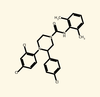 Cc1cccc(C)c1NC(=O)N1CCN(c2ccc(Cl)cc2Cl)C(c2ccc(Cl)cc2)C1